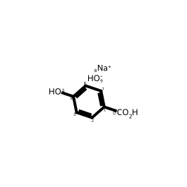 O=C(O)c1ccc(O)cc1.[Na+].[OH-]